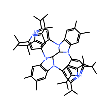 Cc1cc2c(cc1C)N(c1cc(C(C)C)nc(C(C)C)c1)C(C1N(c3cc(C(C)C)nc(C(C)C)c3)c3cc(C)c(C)cc3N1c1cc(C(C)C)nc(C(C)C)c1)N2c1cc(C(C)C)nc(C(C)C)c1